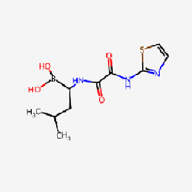 CC(C)C[C@H](NC(=O)C(=O)Nc1nccs1)B(O)O